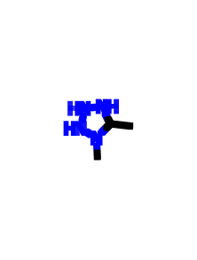 CC1NNNN1C